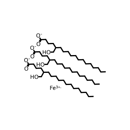 CCCCCCCCCCCCCC(CO)CCCC(=O)[O-].CCCCCCCCCCCCCC(CO)CCCC(=O)[O-].CCCCCCCCCCCCCC(CO)CCCC(=O)[O-].[Fe+3]